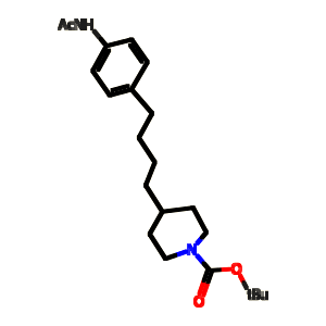 CC(=O)Nc1ccc(CCCCC2CCN(C(=O)OC(C)(C)C)CC2)cc1